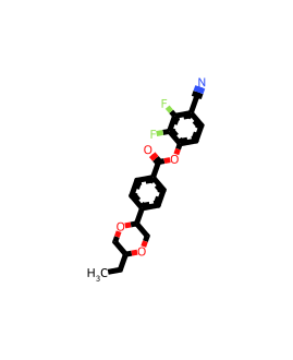 CCC1COC(c2ccc(C(=O)Oc3ccc(C#N)c(F)c3F)cc2)CO1